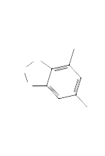 Cc1cc(C)c2c(c1)OBO2